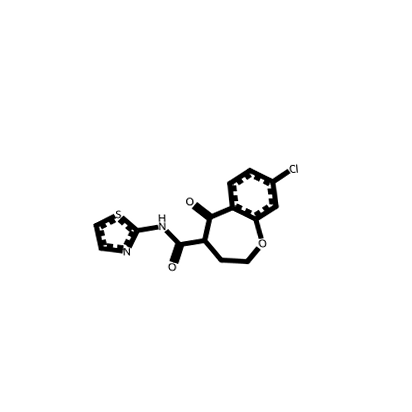 O=C(Nc1nccs1)C1CCOc2cc(Cl)ccc2C1=O